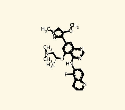 COc1cn(C)nc1-c1cc(O[C@H](C)CN(C)C)c2c(Nc3ccc4ncccc4c3F)ncnc2c1